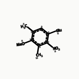 COc1c(C)cc(C(C)(C)C)c([N+](=O)[O-])c1C